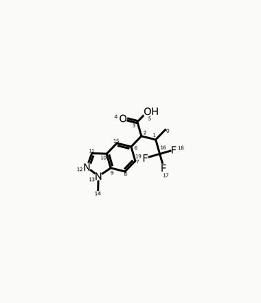 CC(C(C(=O)O)c1ccc2c(cnn2C)c1)C(F)(F)F